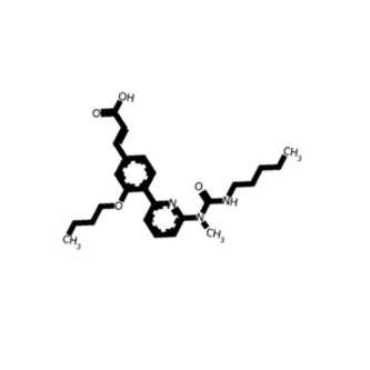 CCCCCNC(=O)N(C)c1cccc(-c2ccc(C=CC(=O)O)cc2OCCCC)n1